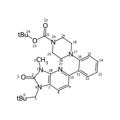 Cn1c(=O)n(CC(C)(C)C)c2ccc(-c3ccccc3N3CCN(C(=O)OC(C)(C)C)CC3)nc21